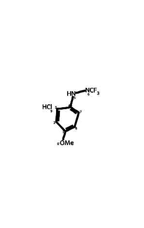 COc1ccc(NNC(F)(F)F)cc1.Cl